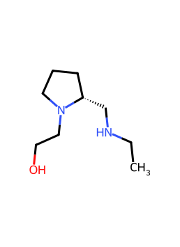 CCNC[C@H]1CCCN1CCO